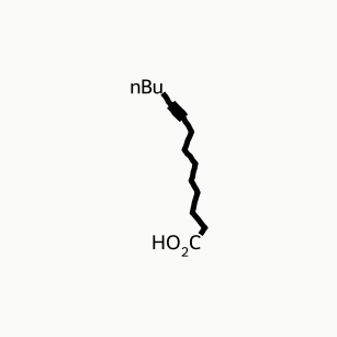 CCCCC#CCCCCCCCC(=O)O